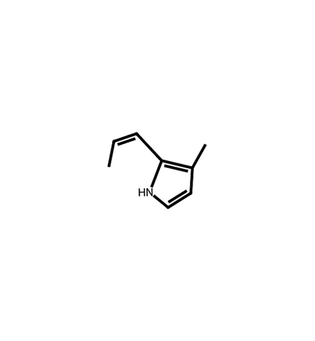 C/C=C\c1[nH]ccc1C